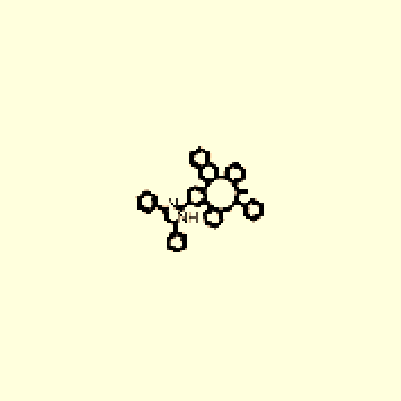 CC1c2ccccc2-c2cc3ccccc3cc2-c2ccc(C3=NC(c4ccccc4)=CC(c4ccccc4)N3)cc2-c2ccccc2CC1c1ccccc1